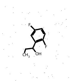 CC[C](O)c1cc(F)ccc1F